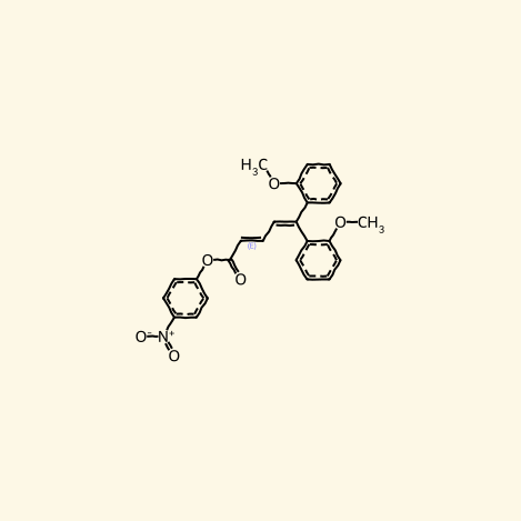 COc1ccccc1C(=C/C=C/C(=O)Oc1ccc([N+](=O)[O-])cc1)c1ccccc1OC